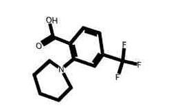 O=C(O)c1ccc(C(F)(F)F)cc1N1CCCCC1